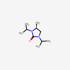 CC(C)N1C[C@H](C)N(C(C)C)C1=O